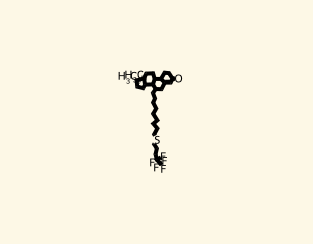 C[C@H]1CCC2C3C(CCCCCCCCCSCCCC(F)(F)C(F)(F)F)CC4=CC(=O)CCC4C3CC[C@@]21C